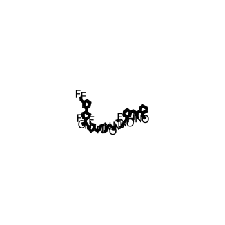 O=C(CN1CCN(CC2CCN(C(=O)c3c(F)cc(-c4cccc(CC(F)F)c4)cc3F)CC2)CC1)N1CCN(C(=O)c2cc(Cc3n[nH]c(=O)c4ccccc34)ccc2F)CC1